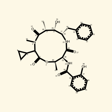 C[C@H]1OC(=O)C(C2CC2)N(C)C(=O)[C@H](C)[C@H](O)[C@H](Cc2ccccc2)NC(=O)[C@H]1NC(=O)c1ccccc1O